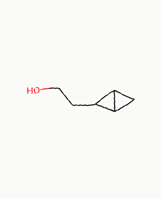 OCCC1C2CC12